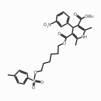 CC1=C(C(=O)OCCCCCCOS(=O)(=O)c2ccc(C)cc2)C(c2cccc([N+](=O)[O-])c2)C(C(=O)OCC(C)C)=C(C)N1